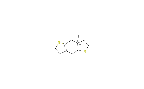 C1CC2=C(C[C@H]3CCSC3C2)S1